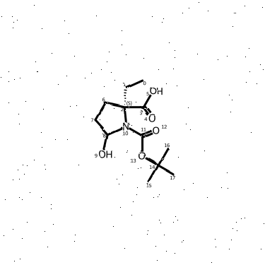 CC[C@@]1(C(=O)O)CCC(O)N1C(=O)OC(C)(C)C